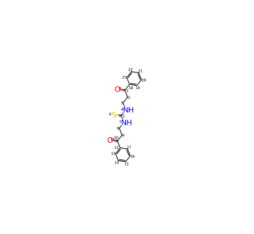 O=C(CCNC(=S)NCCC(=O)c1ccccc1)c1ccccc1